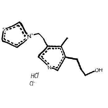 Cc1c(CCO)cncc1C[n+]1ccsc1.Cl.[Cl-]